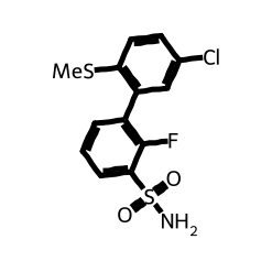 CSc1ccc(Cl)cc1-c1cccc(S(N)(=O)=O)c1F